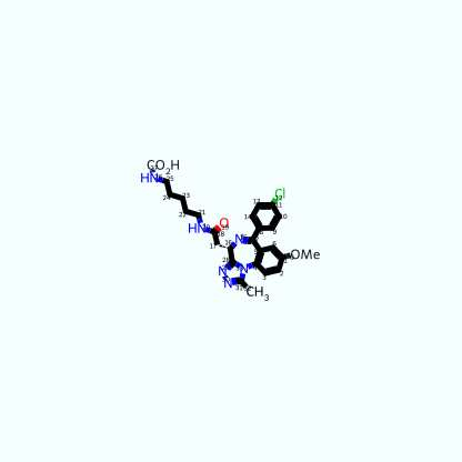 COc1ccc2c(c1)C(c1ccc(Cl)cc1)=N[C@@H](CC(=O)NCCCCCNC(=O)O)c1nnc(C)n1-2